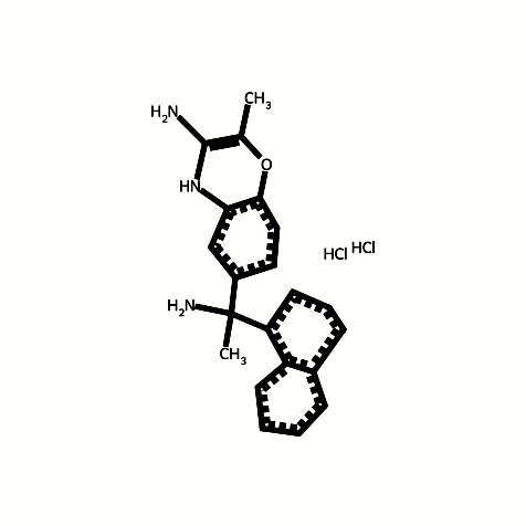 CC1=C(N)Nc2cc(C(C)(N)c3cccc4ccccc34)ccc2O1.Cl.Cl